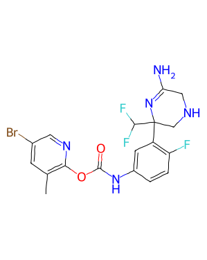 Cc1cc(Br)cnc1OC(=O)Nc1ccc(F)c(C2(C(F)F)CNCC(N)=N2)c1